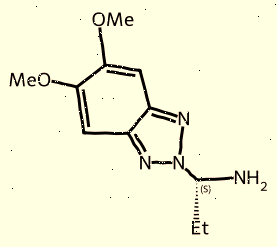 CC[C@@H](N)n1nc2cc(OC)c(OC)cc2n1